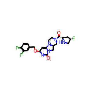 O=C([C@@H]1C[C@H](F)CN1)N1CCN2c3cc(OCc4ccc(F)c(F)c4)nc(=O)n3CC2C1